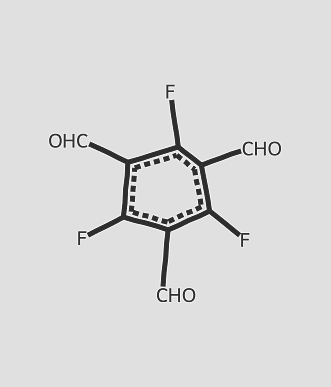 O=Cc1c(F)c(C=O)c(F)c(C=O)c1F